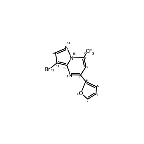 FC(F)(F)c1cc(-c2ccco2)nc2c(Br)cnn12